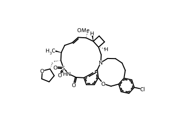 CO[C@H]1/C=C/C[C@H](C)[C@@H](C[C@@H]2CCCO2)S(=O)(=O)NC(=O)c2ccc3c(c2)N(CCCCc2cc(Cl)ccc2CO3)C[C@@H]2CC[C@H]21